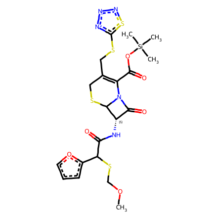 COCSC(C(=O)N[C@H]1C(=O)N2C(C(=O)O[Si](C)(C)C)=C(CSc3nnns3)CSC12)c1ccco1